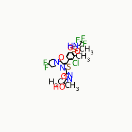 Cc1c(S(=O)(=O)NC(C)C(F)(F)F)ccc(-c2sc(-c3nnc(C(C)(C)O)o3)nc2C(=O)N2CCC(F)(F)CC2)c1Cl